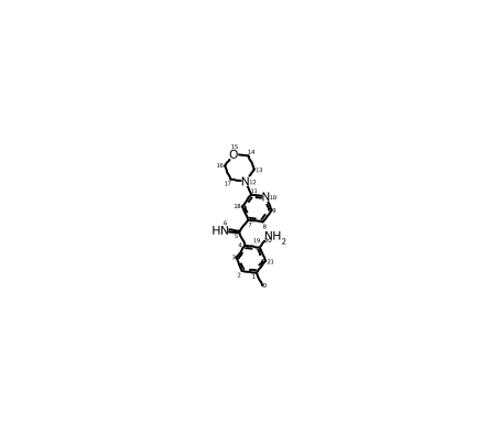 Cc1ccc(C(=N)c2ccnc(N3CCOCC3)c2)c(N)c1